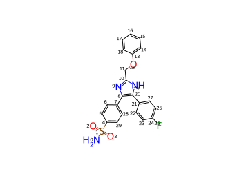 NS(=O)(=O)c1ccc(-c2nc(COc3ccccc3)[nH]c2-c2ccc(F)cc2)cc1